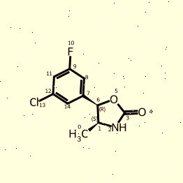 C[C@@H]1NC(=O)O[C@@H]1c1cc(F)cc(Cl)c1